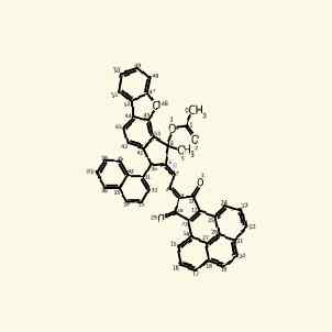 CC(=O)OC1(C)/C(=C/C=C2C(=O)c3c(c4cccc5ccc6cccc3c6c54)C2=O)C(c2cccc3ccccc23)c2ccc3c(oc4ccccc43)c21